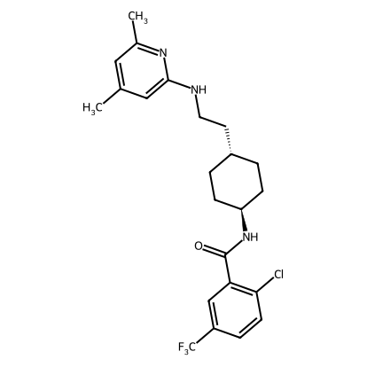 Cc1cc(C)nc(NCC[C@H]2CC[C@H](NC(=O)c3cc(C(F)(F)F)ccc3Cl)CC2)c1